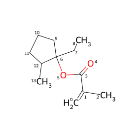 C=C(C)C(=O)OC1(CC)CCCC1C